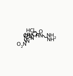 Cl.Cn1cc([N+](=O)[O-])nc1-c1nc2cc(C(=O)NCCC(=N)N)ccc2[nH]1